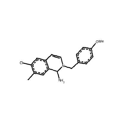 COc1ccc(CN2C=Cc3cc(Cl)c(C)cc3C2N)cc1